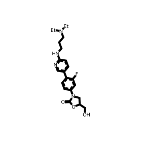 CCN(CC)CCCNc1ccc(-c2ccc(N3CC(CO)OC3=O)cc2F)cn1